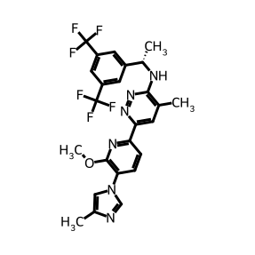 COc1nc(-c2cc(C)c(N[C@@H](C)c3cc(C(F)(F)F)cc(C(F)(F)F)c3)nn2)ccc1-n1cnc(C)c1